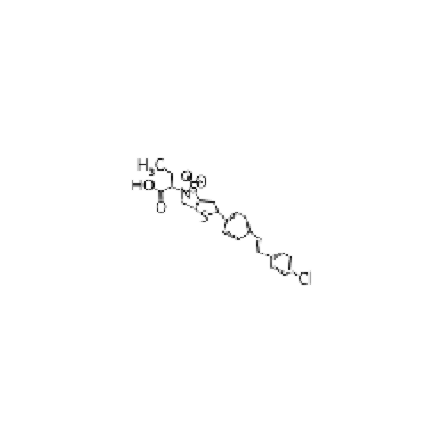 CCC(C(=O)O)N1CC2=C(CC(c3ccc(/C=C/c4ccc(Cl)cc4)cc3)S2)S1(=O)=O